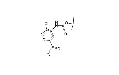 COC(=O)c1cnc(Cl)c(NC(=O)OC(C)(C)C)c1